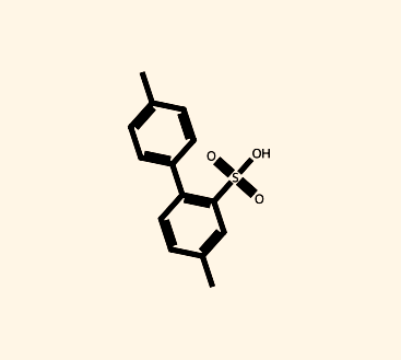 Cc1ccc(-c2ccc(C)cc2S(=O)(=O)O)cc1